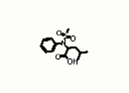 CC(C)CC(C(=O)O)N(c1ccccc1)S(C)(=O)=O